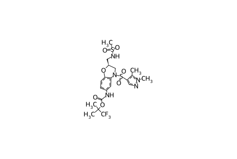 Cc1c(S(=O)(=O)N2C[C@H](CNS(C)(=O)=O)Oc3ccc(NC(=O)OC(C)(C)C(F)(F)F)cc32)cnn1C